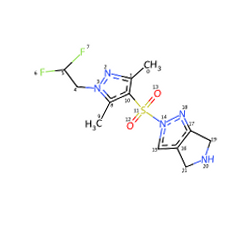 Cc1nn(CC(F)F)c(C)c1S(=O)(=O)n1cc2c(n1)CNC2